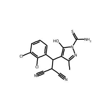 Cc1nn(C(N)=S)c(O)c1C(c1cccc(Cl)c1Cl)C(C#N)C#N